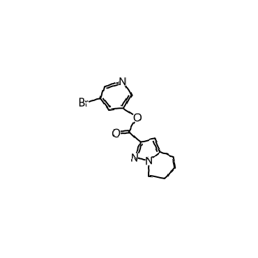 O=C(Oc1cncc(Br)c1)c1cc2n(n1)CCCC2